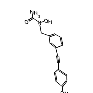 COc1ccc(C#Cc2cccc(CN(O)C(N)=O)c2)cc1